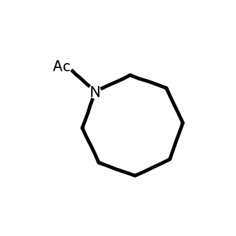 CC(=O)N1CCCCCCC1